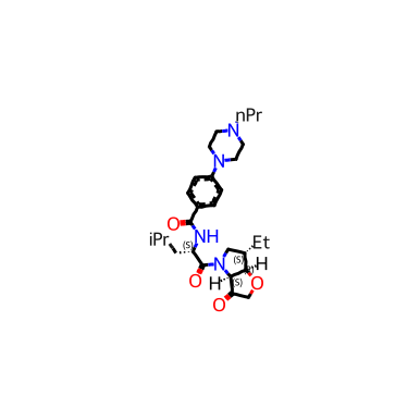 CCCN1CCN(c2ccc(C(=O)N[C@@H](CC(C)C)C(=O)N3C[C@H](CC)[C@H]4OCC(=O)[C@H]43)cc2)CC1